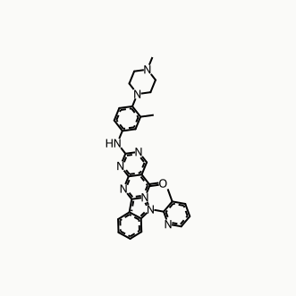 Cc1cc(Nc2ncc3c(=O)n4c(nc3n2)c2ccccc2n4-c2ncccc2C)ccc1N1CCN(C)CC1